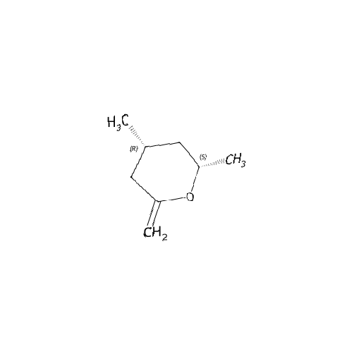 C=C1C[C@H](C)C[C@H](C)O1